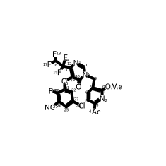 COc1nc(C(C)=O)ccc1Cn1cnc(C(F)(F)C(F)F)c(Oc2cc(Cl)cc(C#N)c2F)c1=O